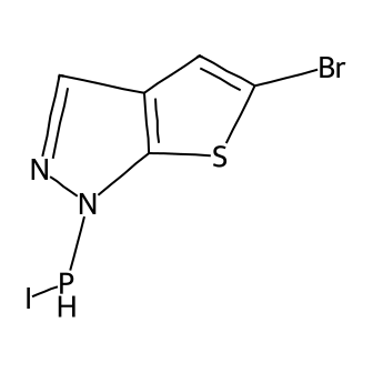 Brc1cc2cnn(PI)c2s1